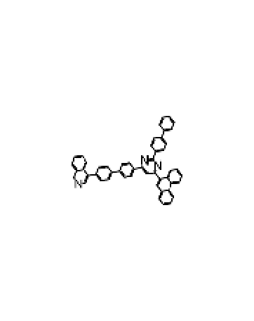 c1ccc(-c2ccc(-c3nc(-c4ccc(-c5ccc(-c6cncc7ccccc67)cc5)cc4)cc(-c4cc5ccccc5c5ccccc45)n3)cc2)cc1